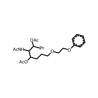 CC(=O)NC(C(CCCOCCOc1ccccc1)OC(C)=O)C(OC(C)=O)C(C)C